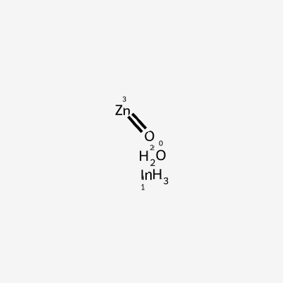 O.[InH3].[O]=[Zn]